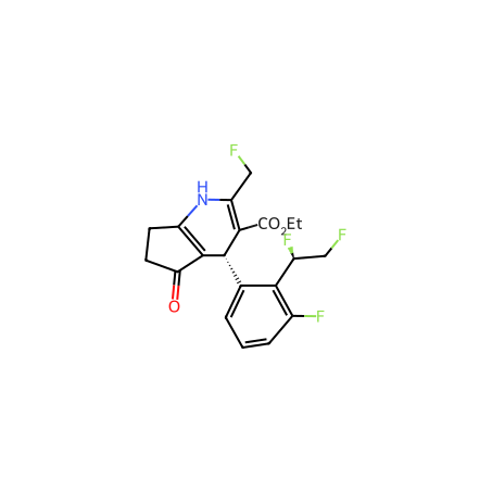 CCOC(=O)C1=C(CF)NC2=C(C(=O)CC2)[C@H]1c1cccc(F)c1[C@@H](F)CF